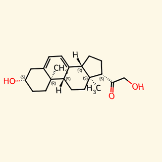 C[C@]12CC[C@H]3C(=CC=C4C[C@@H](O)CC[C@@]43C)[C@@H]1CC[C@@H]2C(=O)CO